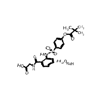 CC(C)(C)C(=O)Oc1ccc(S(=O)(=O)Nc2ccccc2C(=O)NCC(=O)O)cc1.O.[NaH]